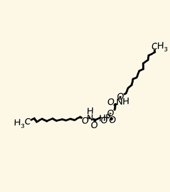 CCCCCCCCCCCCONC(=O)CO[PH](=O)OCC(=O)NOCCCCCCCCCCCC